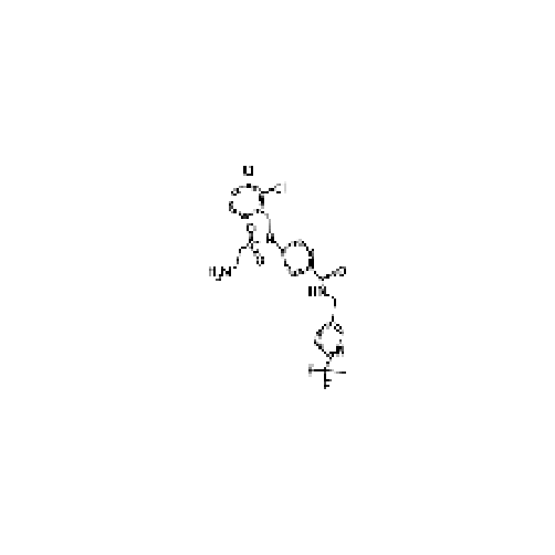 NCCS(=O)(=O)N(Cc1cccc(Cl)c1Cl)c1ccc(C(=O)NCc2ccc(C(F)(F)F)nc2)cc1